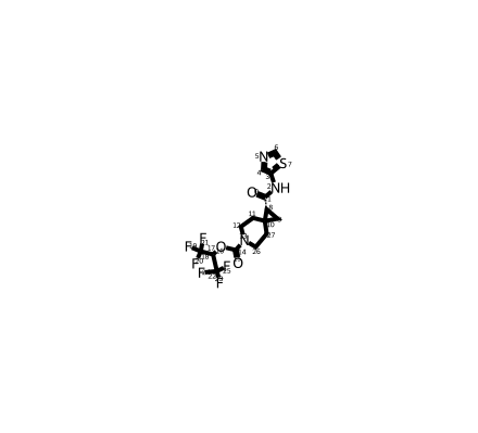 O=C(Nc1cncs1)[C@@H]1CC12CCN(C(=O)OC(C(F)(F)F)C(F)(F)F)CC2